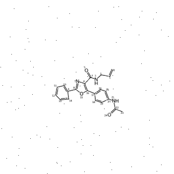 C=CCNC(=O)c1nc(-c2ccccc2)oc1-c1ccc(NC(C)=O)cc1